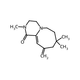 C=C1/C=C2/C(=O)N(C)CCN2CCC(C)(C)C1